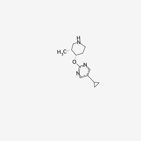 C[C@@H]1CNCC[C@@H]1Oc1ncc(C2CC2)cn1